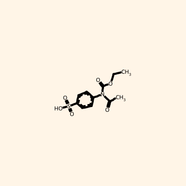 CCOC(=O)N(C(C)=O)c1ccc(S(=O)(=O)O)cc1